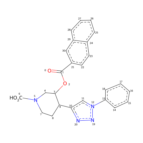 O=C(OC1CN(C(=O)O)CCC1c1cn(-c2ccccc2)nn1)c1ccc2ccccc2c1